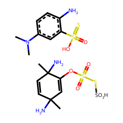 CC1(N)C=CC(C)(N)C(OS(=O)(=O)SS(=O)(=O)O)=C1.CN(C)c1ccc(N)c(S(=O)(O)=S)c1